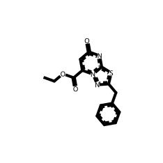 CCOC(=O)c1cc(=O)nc2sc(Cc3ccccc3)nn12